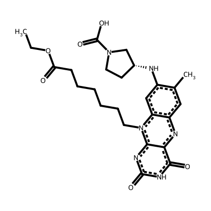 CCOC(=O)CCCCCCn1c2nc(=O)[nH]c(=O)c-2nc2cc(C)c(N[C@@H]3CCN(C(=O)O)C3)cc21